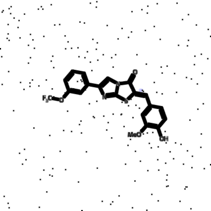 COc1cc(/C=c2\sc3nc(-c4cccc(OC(F)(F)F)c4)cn3c2=O)ccc1O